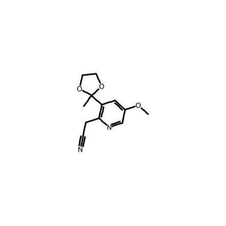 COc1cnc(CC#N)c(C2(C)OCCO2)c1